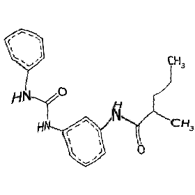 CCCC(C)C(=O)Nc1cccc(NC(=O)Nc2ccccc2)c1